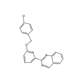 Clc1ccc(COc2cccc(-c3ncc4ccccc4n3)n2)cc1